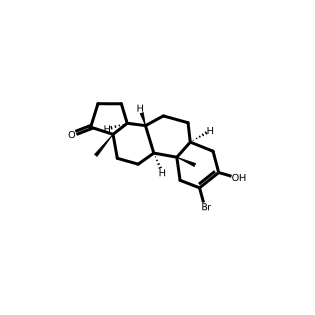 C[C@]12CC(Br)=C(O)C[C@@H]1CC[C@@H]1[C@@H]2CC[C@]2(C)C(=O)CC[C@@H]12